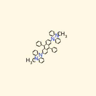 CN1c2ccccc2N(c2ccc3c(-c4ccccc4)c4cc(N5c6ccccc6N(C)c6ccccc65)ccc4c(-c4ccccc4)c3c2)c2ccccc21